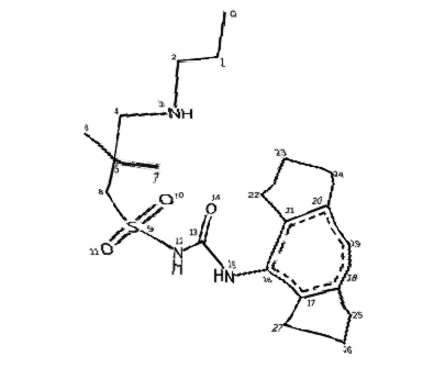 CCCNCC(C)(C)CS(=O)(=O)NC(=O)Nc1c2c(cc3c1CCC3)CCC2